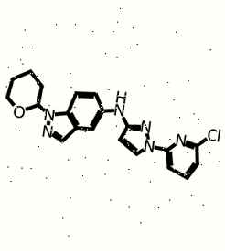 Clc1cccc(-n2ccc(Nc3ccc4c(cnn4C4CCCCO4)c3)n2)n1